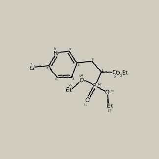 CCOC(=O)C(Cc1ccc(Cl)nc1)P(=O)(OCC)OCC